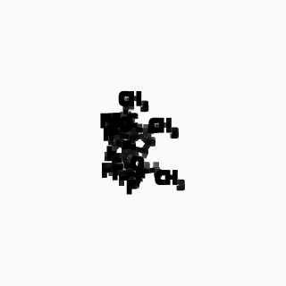 CCCOC(CC1CC2CC1(C(OCCC)(C(F)(F)F)C(F)(F)F)C(C)C2C)(C(F)(F)F)C(F)(F)F